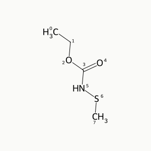 CCOC(=O)NSC